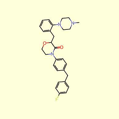 CN1CCN(c2ccccc2CC2OCCN(c3ccc(Cc4ccc(F)cc4)cc3)C2=O)CC1